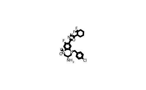 N[C@@H]1CN(Cc2ccc(Cl)cc2)c2cc(-c3nnc(C4CCCCC4(F)F)o3)c(F)cc2S(=O)(=O)C1